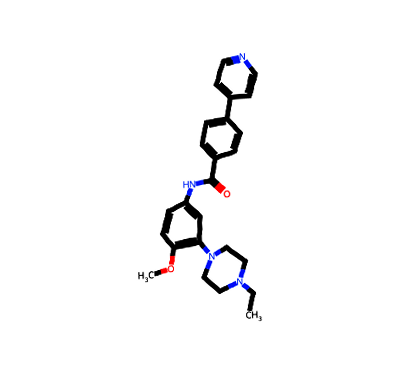 CCN1CCN(c2cc(NC(=O)c3ccc(-c4ccncc4)cc3)ccc2OC)CC1